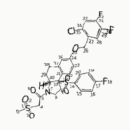 CS(=O)(=O)CC(=O)N1CC[C@@]2(S(=O)(=O)c3ccc(F)cc3)c3ccc(OCc4cc(F)c(F)cc4Cl)cc3CC[C@@H]12